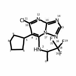 CC(Nc1c(C2CCCC2)c(Cl)nc2ncnn12)C(F)(F)F